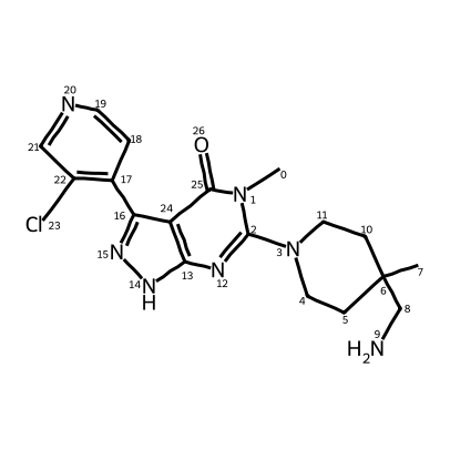 Cn1c(N2CCC(C)(CN)CC2)nc2[nH]nc(-c3ccncc3Cl)c2c1=O